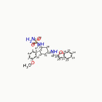 COc1cccc([C@]2(CNS(N)(=O)=O)CC[C@@H](NCc3cc4ccccc4o3)CC2)c1